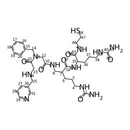 NC(=O)NCCCC(CNC(=O)CN(Cc1ccccc1)C(=O)CNCc1cccnc1)C(=O)NC(CCCNC(N)=O)C(=O)NCCS